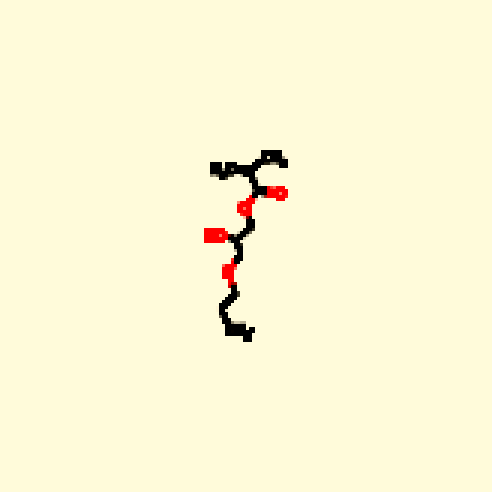 [CH2]CCOCC(O)COC(=O)C(=C)C